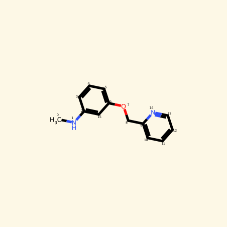 CNc1cccc(OCc2ccccn2)c1